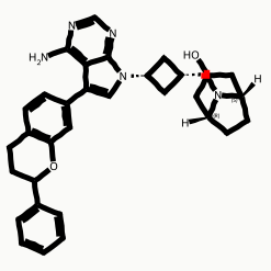 Nc1ncnc2c1c(-c1ccc3c(c1)OC(c1ccccc1)CC3)cn2[C@H]1C[C@@H](CN2[C@@H]3CC[C@H]2CC(O)C3)C1